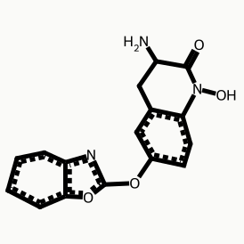 NC1Cc2cc(Oc3nc4ccccc4o3)ccc2N(O)C1=O